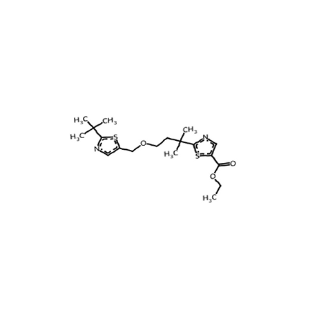 CCOC(=O)c1cnc(C(C)(C)CCOCc2cnc(C(C)(C)C)s2)s1